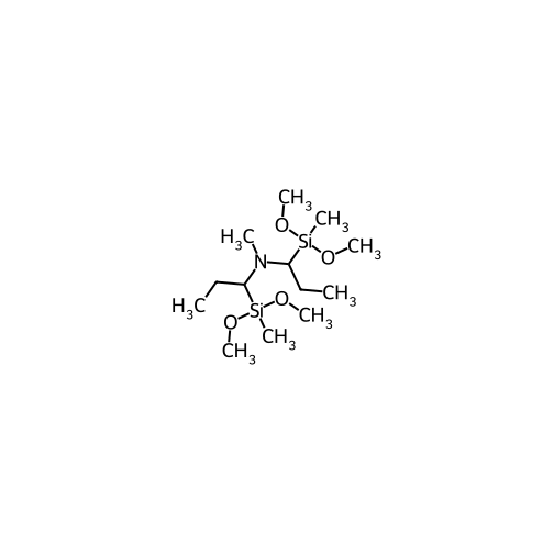 CCC(N(C)C(CC)[Si](C)(OC)OC)[Si](C)(OC)OC